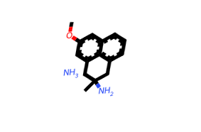 COc1cc2c3c(cccc3c1)CC(C)(N)C2.N